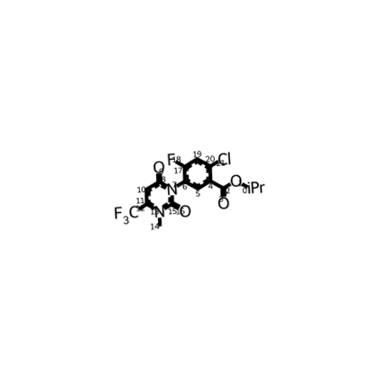 CC(C)OC(=O)c1cc(-n2c(=O)cc(C(F)(F)F)n(C)c2=O)c(F)cc1Cl